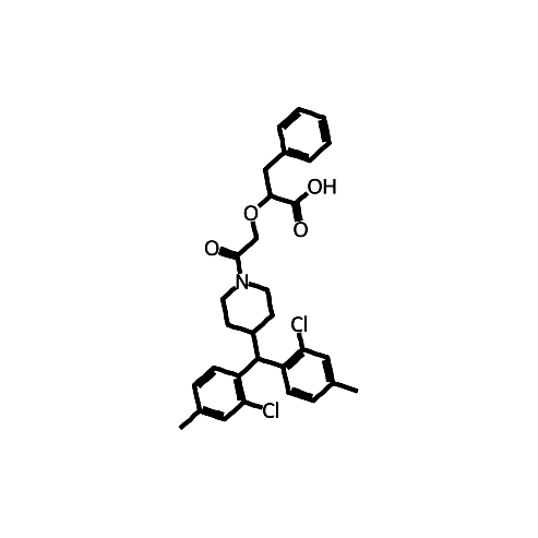 Cc1ccc(C(c2ccc(C)cc2Cl)C2CCN(C(=O)COC(Cc3ccccc3)C(=O)O)CC2)c(Cl)c1